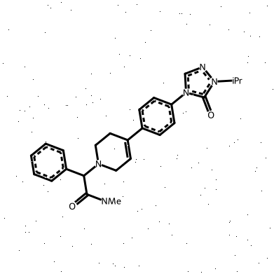 CNC(=O)C(c1ccccc1)N1CC=C(c2ccc(-n3cnn(C(C)C)c3=O)cc2)CC1